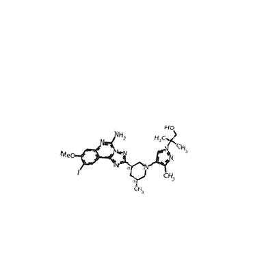 COc1cc2nc(N)n3nc([C@@H]4C[C@H](C)CN(c5cn(C(C)(C)CO)nc5C)C4)nc3c2cc1F